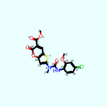 COC(=O)c1cc2sc(N(C)C(=O)Nc3ccc(Cl)cc3OC)cc2oc1=O